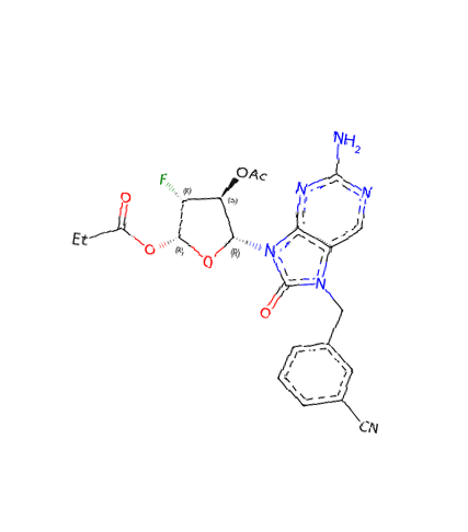 CCC(=O)O[C@H]1O[C@@H](n2c(=O)n(Cc3cccc(C#N)c3)c3cnc(N)nc32)[C@H](OC(C)=O)[C@H]1F